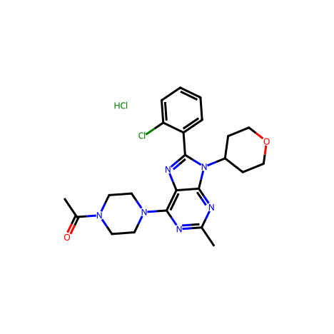 CC(=O)N1CCN(c2nc(C)nc3c2nc(-c2ccccc2Cl)n3C2CCOCC2)CC1.Cl